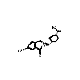 CC(O)[C@H]1CC[C@H](CN2Cc3ccc(O)cc3C2=O)CC1